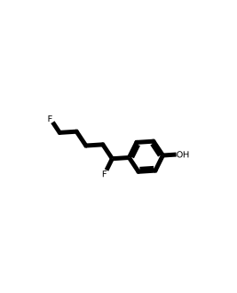 Oc1ccc(C(F)CCCCF)cc1